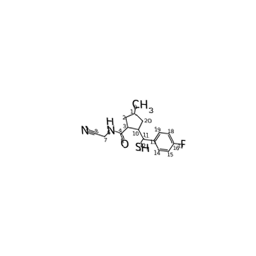 CC1CC(C(=O)NCC#N)C(C(S)c2ccc(F)cc2)C1